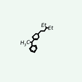 CCC(CC)CCC1CC=C(C(C)c2ccccc2)CC1